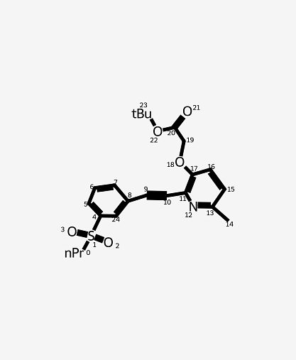 CCCS(=O)(=O)c1cccc(C#Cc2nc(C)ccc2OCC(=O)OC(C)(C)C)c1